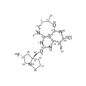 CC1CCN(C)c2nc(OC[C@@]34CCCN3C[C@H](F)C4)nc3c(F)c(Cl)nc(c23)O1